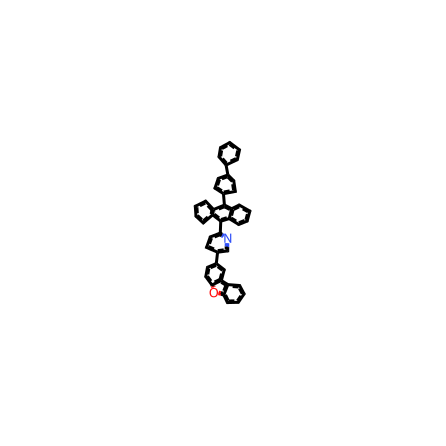 c1ccc(-c2ccc(-c3c4ccccc4c(-c4ccc(-c5ccc6oc7ccccc7c6c5)cn4)c4ccccc34)cc2)cc1